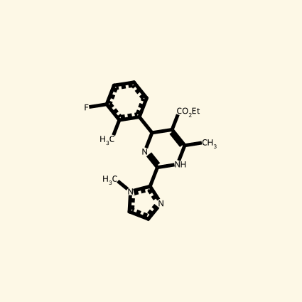 CCOC(=O)C1=C(C)NC(c2nccn2C)=NC1c1cccc(F)c1C